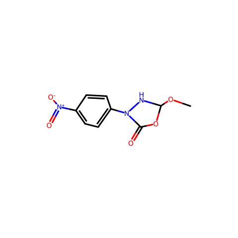 COC1NN(c2ccc([N+](=O)[O-])cc2)C(=O)O1